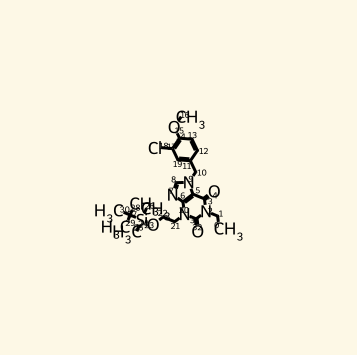 CCn1c(=O)c2c(ncn2Cc2ccc(OC)c(Cl)c2)n(CCO[Si](C)(C)C(C)(C)C)c1=O